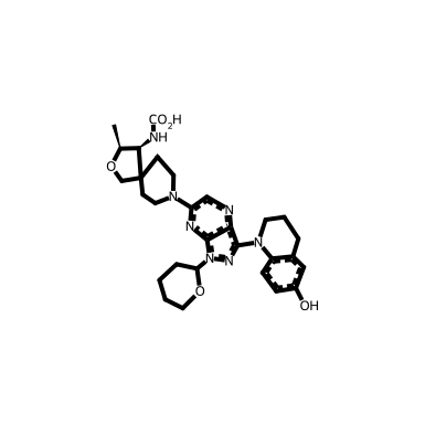 C[C@@H]1OCC2(CCN(c3cnc4c(N5CCCc6cc(O)ccc65)nn(C5CCCCO5)c4n3)CC2)[C@@H]1NC(=O)O